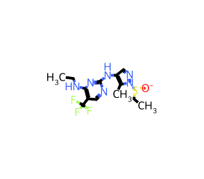 CCNc1nc(Nc2cnn([S+]([O-])CC)c2C)ncc1C(F)(F)F